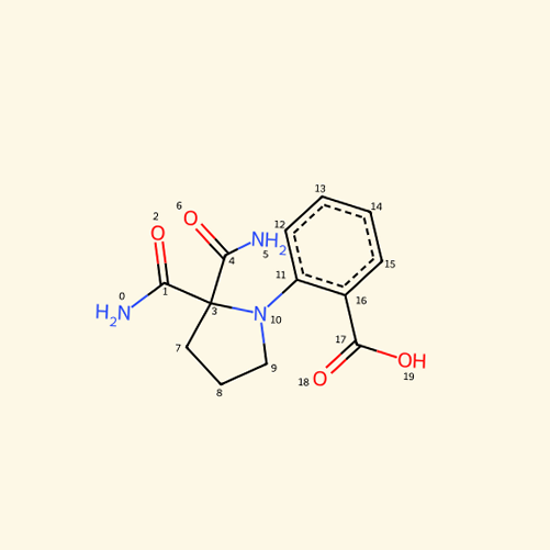 NC(=O)C1(C(N)=O)CCCN1c1ccccc1C(=O)O